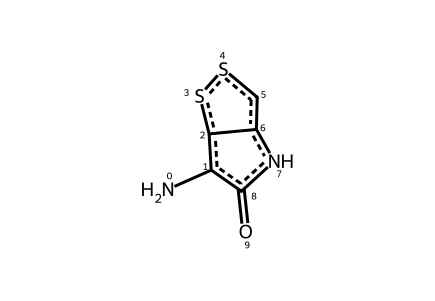 Nc1c2sscc-2[nH]c1=O